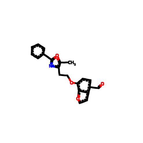 Cc1oc(-c2ccccc2)nc1CCOc1ccc(C=O)c2ccoc12